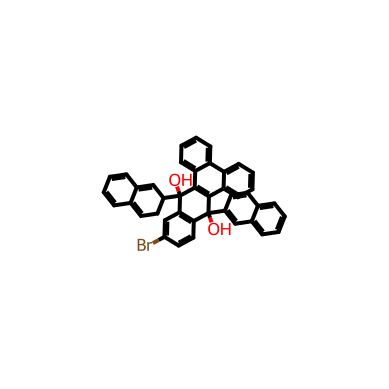 OC1(c2ccc3ccccc3c2)c2ccc(Br)cc2C(O)(C2C=c3ccccc3=CC2)c2c1c1ccccc1c1ccccc21